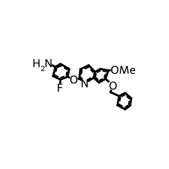 COc1cc2ccc(Oc3ccc(N)cc3F)nc2cc1OCc1ccccc1